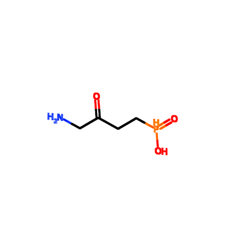 NCC(=O)CC[PH](=O)O